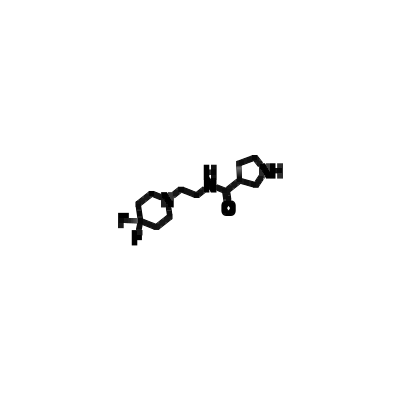 O=C(NCCN1CCC(F)(F)CC1)C1CCNC1